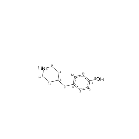 Oc1ccc(CC2CCNCC2)cc1